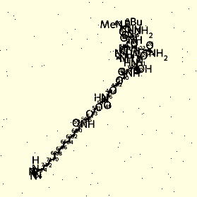 CCCC[C@H](NC(=O)[C@H](CN)NC(=O)[C@H](Cc1c[nH]cn1)NC(=O)[C@H](CCC(N)=O)NC(=O)[C@H](CO)NC(=O)CNC(=O)COCCOCCNC(=O)COCCOCCNC(=O)CCCCCCCCCCCCCCCc1nnn[nH]1)C(=O)NC